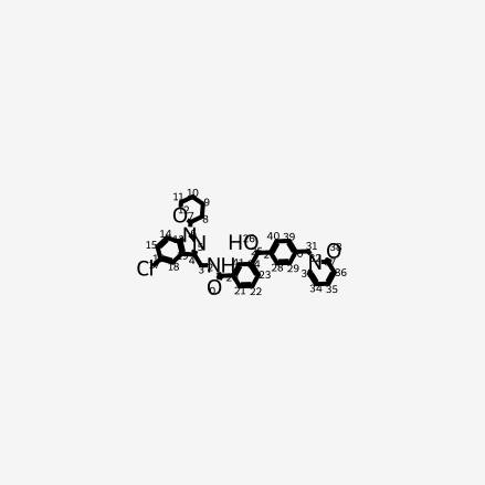 O=C(NCc1nn(C2CCCCO2)c2ccc(Cl)cc12)c1cccc(C(O)c2ccc(Cn3ccccc3=O)cc2)c1